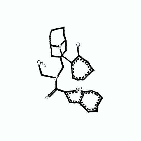 CCN(CC1CC2CCC(C1)N2Cc1ccccc1Cl)C(=O)c1cc2ccccc2[nH]1